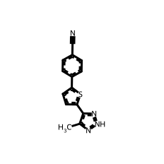 Cc1n[nH]nc1-c1ccc(-c2ccc(C#N)cc2)s1